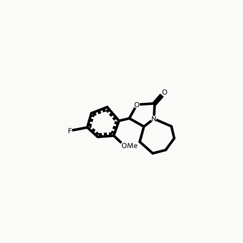 COc1cc(F)ccc1C1OC(=O)N2CCCCCC12